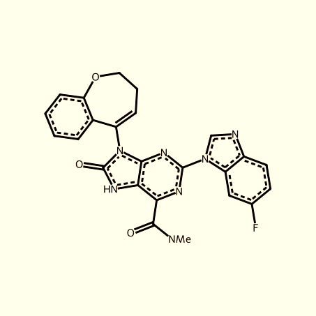 CNC(=O)c1nc(-n2cnc3ccc(F)cc32)nc2c1[nH]c(=O)n2C1=CCCOc2ccccc21